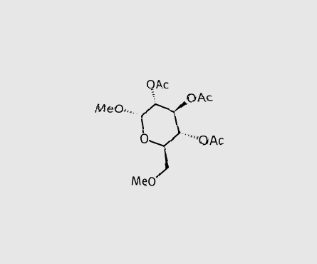 COC[C@H]1O[C@H](OC)[C@H](OC(C)=O)[C@@H](OC(C)=O)[C@@H]1OC(C)=O